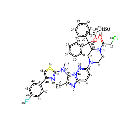 CCc1nc2ccc(N3CCN(C(=O)CCl)C(C(O[SiH2]C(C)(C)C)(c4ccccc4)c4ccccc4)C3)nn2c1N(C)c1nc(-c2ccc(F)cc2)cs1